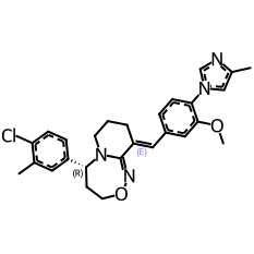 COc1cc(/C=C2\CCCN3C2=NOCC[C@@H]3c2ccc(Cl)c(C)c2)ccc1-n1cnc(C)c1